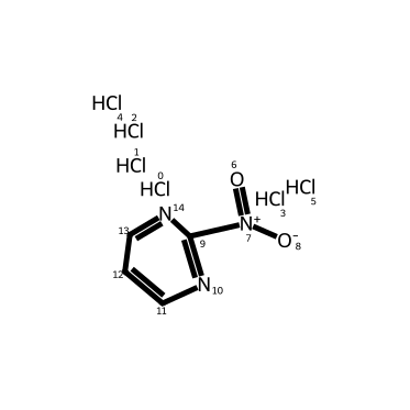 Cl.Cl.Cl.Cl.Cl.Cl.O=[N+]([O-])c1ncccn1